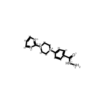 NNC(=O)c1ccc(N2CCN(c3ncccn3)CC2)cc1